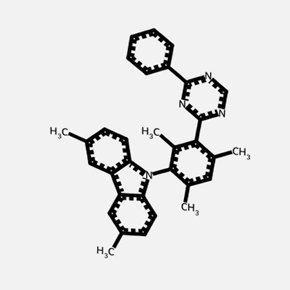 Cc1ccc2c(c1)c1cc(C)ccc1n2-c1c(C)cc(C)c(-c2ncnc(-c3ccccc3)n2)c1C